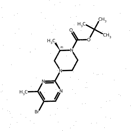 Cc1nc(N2CCN(C(=O)OC(C)(C)C)[C@H](C)C2)ncc1Br